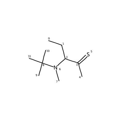 CCC(C(C)=S)N(C)C(C)(C)C